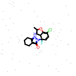 CC1CC2C(=C(Cl)C=CC2(F)n2[nH]c3c(c2=O)CCCC3)O1